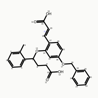 Cc1ccccc1C(CCC(=O)O)Oc1cc(OCc2ccccc2)ccc1/C=C/C(=O)O